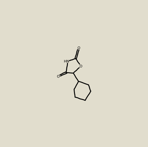 O=C1NC(=O)C(C2CCCCC2)O1